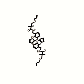 C=CCOCC(C)(C)C(=O)NCc1ccc(F)[c]([Ti]([C]2=CC=CC2)([C]2=CC=CC2)[c]2c(F)ccc(CNC(=O)C(C)(C)COCC=C)c2F)c1F